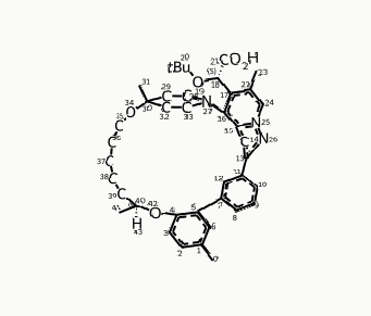 Cc1ccc2c(c1)-c1cccc(c1)-c1cc3c(c([C@H](OC(C)(C)C)C(=O)O)c(C)cn3n1)N1CCC(C)(CC1)OCCCCC[C@H](C)O2